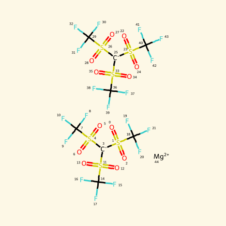 O=S(=O)([C-](S(=O)(=O)C(F)(F)F)S(=O)(=O)C(F)(F)F)C(F)(F)F.O=S(=O)([C-](S(=O)(=O)C(F)(F)F)S(=O)(=O)C(F)(F)F)C(F)(F)F.[Mg+2]